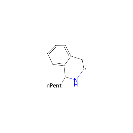 CCCCCC1N[C]Cc2ccccc21